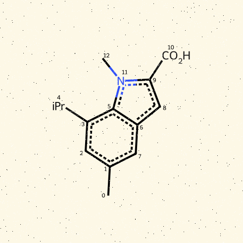 Cc1cc(C(C)C)c2c(c1)cc(C(=O)O)n2C